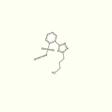 CCCCc1nnc(-c2ccccc2S(=O)(=O)N=C=O)o1